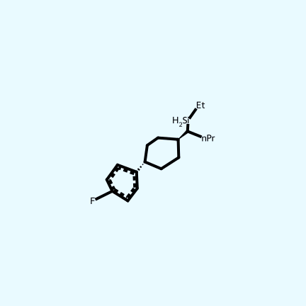 CCCC([SiH2]CC)[C@H]1CC[C@H](c2ccc(F)cc2)CC1